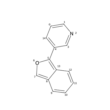 c1cncc(-c2occ3ccccc23)c1